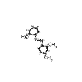 Cc1ccc(N=Nc2ccccc2O)c(C)c1